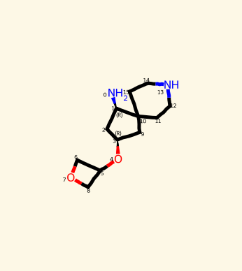 N[C@@H]1C[C@H](OC2COC2)CC12CCNCC2